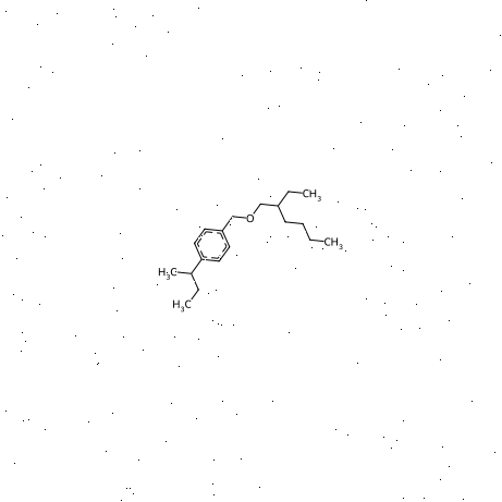 CCCCC(CC)COCc1ccc(C(C)CC)cc1